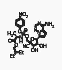 CCC(CC)COC(=O)[C@H](C)NP(=O)(OC[C@@]1(C#N)O[C@@H](c2ccc3c(N)ncnn23)[C@H](O)[C@@H]1O)Oc1ccc([N+](=O)[O-])cc1